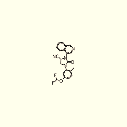 Cc1ccc(OC(F)F)cc1N1C[C@@H](C#N)N(c2cncc3ccccc23)C1=O